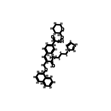 O=C(NCCCn1ccnc1)C(=Cc1ccc(C(=O)NOC2CCCCO2)cc1)COc1cccc2ccccc12